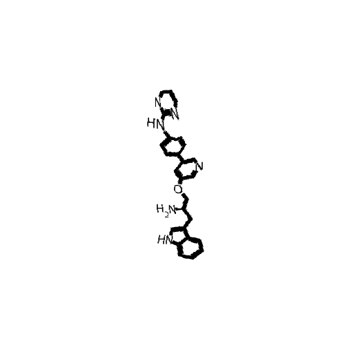 N[C@@H](COc1cncc(-c2ccc(Nc3ncccn3)cc2)c1)Cc1c[nH]c2ccccc12